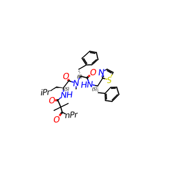 CCCC(=O)C(C)(C)C(=O)N[C@@H](CC(C)C)C(=O)N(C)[C@H](Cc1ccccc1)C(=O)N[C@@H](Cc1ccccc1)c1nccs1